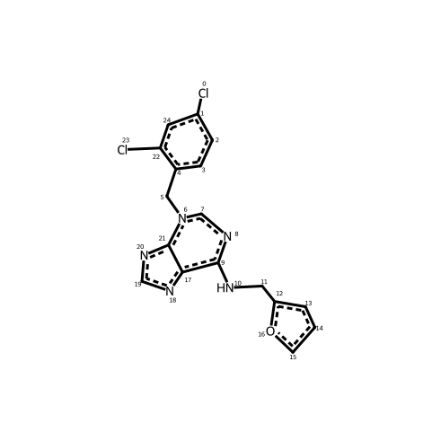 Clc1ccc(Cn2cnc(NCc3ccco3)c3ncnc2-3)c(Cl)c1